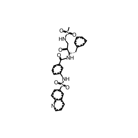 CS(=O)(=O)NCC(=O)[C@H](Cc1ccccc1)NC(=O)c1cccc(NS(=O)(=O)c2ccc3ncccc3c2)c1